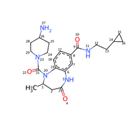 CC1CC(=O)Nc2cc(C(=O)NCCC3CC3)ccc2N1C(=O)N1CCC(N)CC1